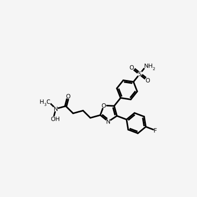 CN(O)C(=O)CCCc1nc(-c2ccc(F)cc2)c(-c2ccc(S(N)(=O)=O)cc2)o1